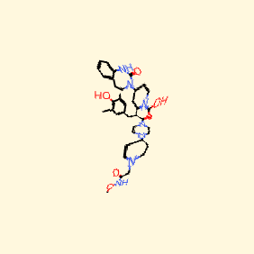 CONC(=O)CN1CCC(N2CCN(C(=O)C(Cc3cc(C)c(O)c(C)c3)[C@H]3CC(N4CCc5ccccc5NC4=O)CCN3C(=O)O)CC2)CC1